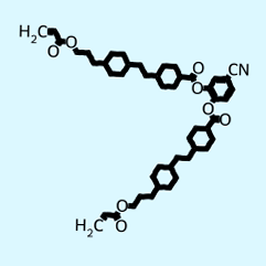 C=CC(=O)OCCCC1CCC(CCC2CCC(C(=O)Oc3ccc(C#N)cc3OC(=O)C3CCC(CCC4CCC(CCCOC(=O)C=C)CC4)CC3)CC2)CC1